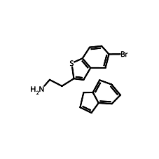 C1=Cc2ccccc2C1.NCCc1cc2cc(Br)ccc2s1